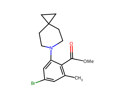 COC(=O)c1c(C)cc(Br)cc1N1CCC2(CC1)CC2